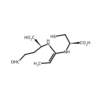 CC=C(N[C@@H](CS)C(=O)O)N[C@@H](CCC=O)C(=O)O